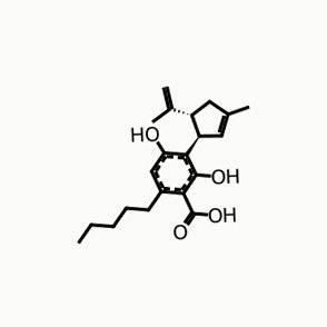 C=C(C)[C@@H]1CC(C)=C[C@H]1c1c(O)cc(CCCCC)c(C(=O)O)c1O